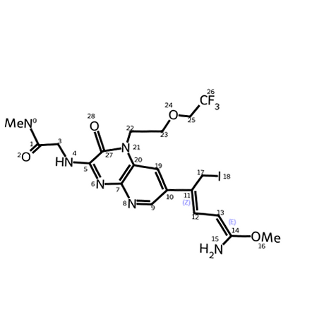 CNC(=O)CNc1nc2ncc(/C(=C/C=C(\N)OC)CI)cc2n(CCOCC(F)(F)F)c1=O